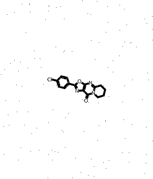 O=c1c2nc(-c3ccc(Cl)cc3)oc2nc2n1CCCC2